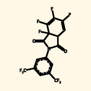 O=C1C2C=C(F)C(F)=C(F)C2(F)C(=O)N1c1cc(C(F)(F)F)cc(C(F)(F)F)c1